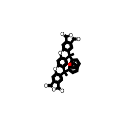 CC1(c2ccccc2)c2cc3c(cc2Oc2cc4c(cc21)C(C)(c1ccccc1)c1cc2c(cc1O4)C(=O)OC2=O)C(=O)OC3=O